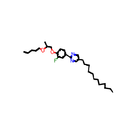 CCCCCCCCCCCCc1cnc(-c2ccc(OCC(C)OCCCCC)c(F)c2)nc1